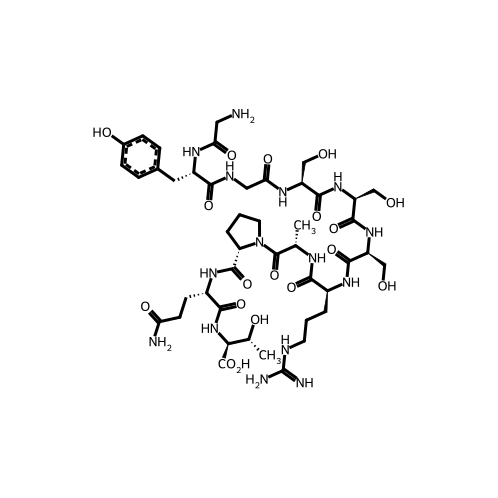 C[C@H](NC(=O)[C@H](CCCNC(=N)N)NC(=O)[C@H](CO)NC(=O)[C@H](CO)NC(=O)[C@H](CO)NC(=O)CNC(=O)[C@H](Cc1ccc(O)cc1)NC(=O)CN)C(=O)N1CCC[C@H]1C(=O)N[C@@H](CCC(N)=O)C(=O)N[C@H](C(=O)O)[C@@H](C)O